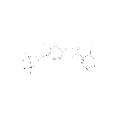 CC1(C)OB(c2ccc(NS(=O)(=O)c3ccccc3Cl)cc2F)OC1(C)C